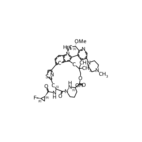 CCn1c(-c2cc(N3CCN(C)CC3)cnc2[C@H](C)OC)c2c3cc(ccc31)-c1csc(n1)C[C@H](NC(=O)[C@H]1C[C@H]1F)C(=O)N1CCC[C@@](O)(N1)C(=O)OCC(C)(C)C2